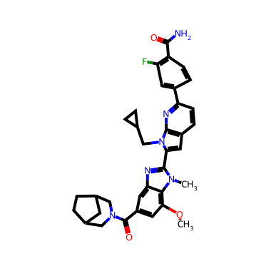 COc1cc(C(=O)N2CC3CCC(C3)C2)cc2nc(-c3cc4ccc(-c5ccc(C(N)=O)c(F)c5)nc4n3CC3CC3)n(C)c12